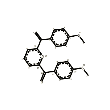 C=C(c1ccc(SC)cc1)c1cccc(C(=C)c2ccc(SC)cc2)n1